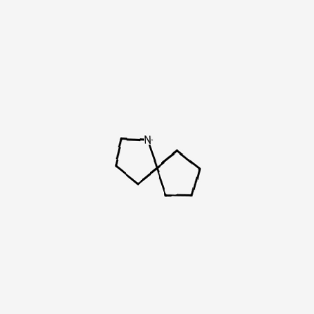 C1CCC2(C1)CCC[N]2